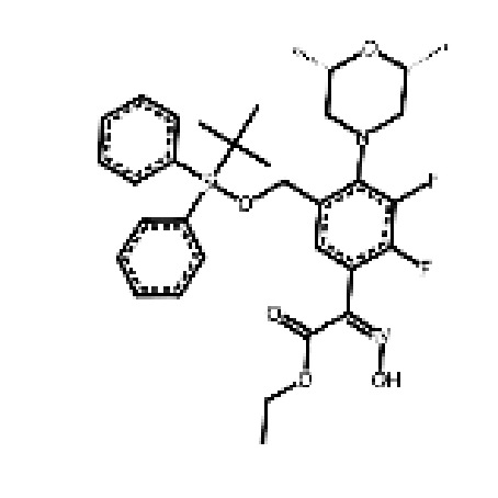 CCOC(=O)/C(=N\O)c1cc(CO[Si](c2ccccc2)(c2ccccc2)C(C)(C)C)c(N2C[C@@H](C)O[C@@H](C)C2)c(F)c1F